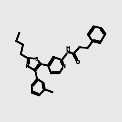 CCCCc1nc(-c2cccc(C)c2)c(-c2ccnc(NC(=O)CCc3ccccc3)c2)s1